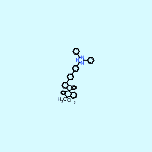 CC1(C)c2ccccc2C2(c3ccccc3-c3c(-c4ccc(-c5ccc(-c6nc(-c7ccccc7)nc(-c7ccccc7)n6)cc5)cc4)cccc32)c2ccccc21